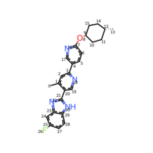 Cc1cc(-c2ccc(O[C@H]3CC[C@@H](C)CC3)nc2)ncc1-c1nc2cc(F)ccc2[nH]1